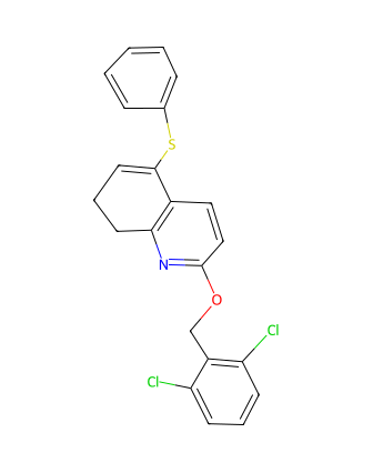 Clc1cccc(Cl)c1COc1ccc2c(n1)CCC=C2Sc1ccccc1